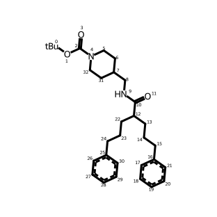 CC(C)(C)OC(=O)N1CCC(CNC(=O)C(CCCc2ccccc2)CCCc2ccccc2)CC1